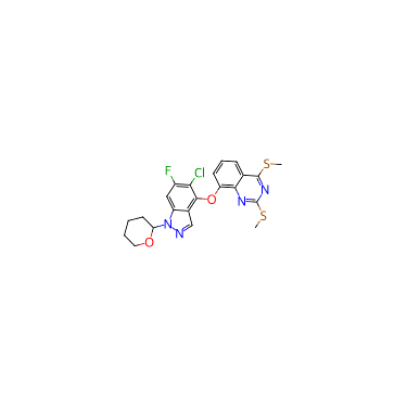 CSc1nc(SC)c2cccc(Oc3c(Cl)c(F)cc4c3cnn4C3CCCCO3)c2n1